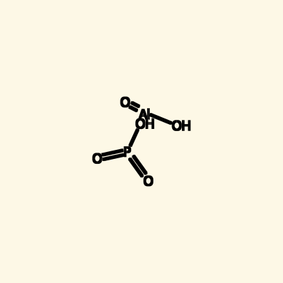 O=P(=O)O.[O]=[Al][OH]